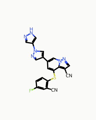 N#Cc1cc(F)ccc1Sc1cc(-c2cnn(-c3cn[nH]c3)c2)cn2ncc(C#N)c12